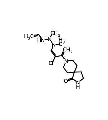 C=CNN(C)N(C)/C=C(/Cl)C(=C)N1CCC2(CCNC2=O)CC1